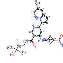 CC(C)(O)[C@H](F)CNC(=O)c1cnc(-c2ccc3cc(C#N)cnn23)cc1NC12CC(C(N)=O)(C1)C2